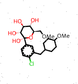 COC[C@H]1O[C@@](O)(c2ccc(Cl)c(CC3CCC(OC)CC3)c2)[C@H](O)[C@@H](O)[C@@H]1O